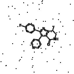 CC1CNC(=O)c2c(-c3ccncc3)c(-c3ccc(F)cc3)nn21